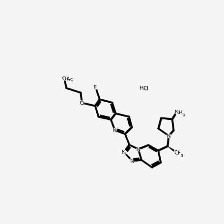 CC(=O)OCCOc1cc2nc(-c3nnc4ccc([C@@H](N5CCC(N)C5)C(F)(F)F)cn34)ccc2cc1F.Cl